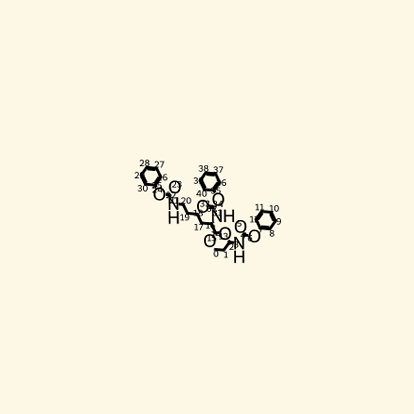 CCC(NC(=O)Oc1ccccc1)OC(=O)C(CCCCNC(=O)Oc1ccccc1)NC(=O)Oc1ccccc1